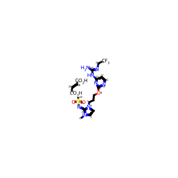 Cn1ccn(CCCOc2nccc(NC(N)=NCC(F)(F)F)n2)c1=NS(C)(=O)=O.O=C(O)C=CC(=O)O